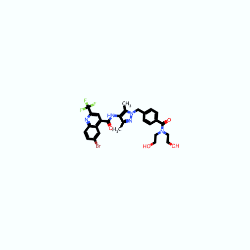 Cc1nn(Cc2ccc(C(=O)N(CCO)CCO)cc2)c(C)c1NC(=O)c1cc(C(F)(F)F)nc2ccc(Br)cc12